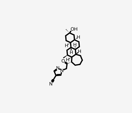 C[C@H]1C[C@H]2[C@@H](CC[C@@H]3C[C@](C)(O)CC[C@@H]32)[C@@H]2CCCC[C@H](C(=O)Cn3cc(C#N)cn3)[C@H]21